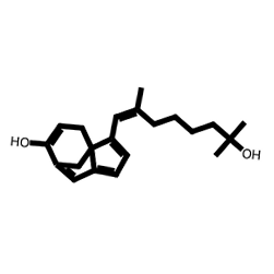 CC(=CC1=CC=C2C=C3CC12CC=C3O)CCCCC(C)(C)O